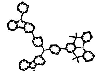 CC1(C)c2ccccc2N2c3ccccc3C(C)(C)c3cc(-c4ccc(N(c5ccc(-c6ccc7c(c6)c6ccccc6n7-c6ccccc6)cc5)c5ccc6oc7ccccc7c6c5)cc4)cc1c32